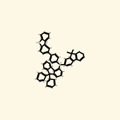 CC1(C)C2=C(C=CCC2)c2ccc(N(c3ccc(-c4ccc5sc6ccccc6c5c4)cc3)c3cccc4c3-c3ccccc3C4(c3ccccc3)c3ccccc3)cc21